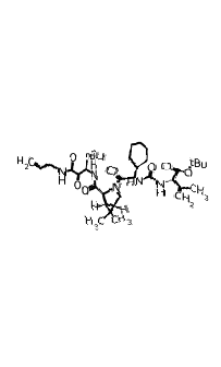 C=CCNC(=O)C(=O)C(CCCC)NC(=O)[C@@H]1[C@@H]2[C@H](CN1C(=O)[C@@H](NC(=O)N[C@@H](C(=C)C)C(=O)OC(C)(C)C)C1CCCCC1)C2(C)C